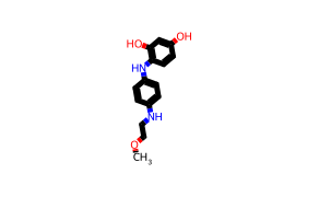 COCCNc1ccc(Nc2ccc(O)cc2O)cc1